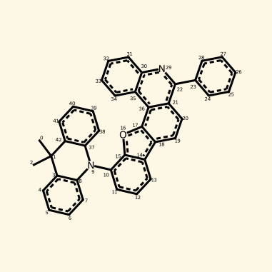 CC1(C)c2ccccc2N(c2cccc3c2oc2c3ccc3c(-c4ccccc4)nc4ccccc4c32)c2ccccc21